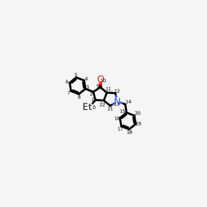 CCC1C(c2ccccc2)C(=O)C2CN(Cc3ccccc3)CC21